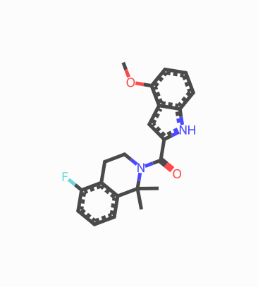 COc1cccc2[nH]c(C(=O)N3CCc4c(F)cccc4C3(C)C)cc12